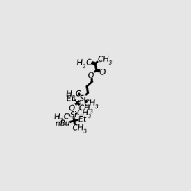 C=C(C)C(=O)OCCC[Si](C)(C)[C@@](C)(CC)O[Si](C)(C)C(C)(CC)CCCC